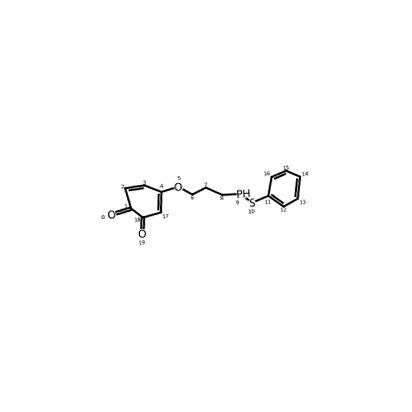 O=C1C=CC(OCCCPSc2ccccc2)=CC1=O